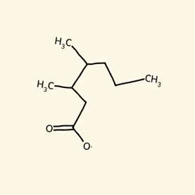 CCCC(C)C(C)CC([O])=O